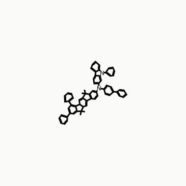 CC1(C)C2=CC3c4c(-c5ccccc5)cc(-c5ccccc5)cc4C(C)(C)C3C=C2c2ccc(N(c3ccc(-c4ccccc4)cc3)c3ccc4c5ccccc5n(-c5ccccc5)c4c3)cc21